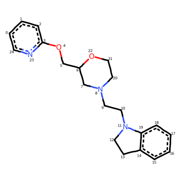 c1ccc(OCC2CN(CCN3CCc4ccccc43)CCO2)nc1